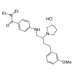 CCN(CC)C(=O)c1ccc(NCC(CCc2cccc(OC)c2)N2CCCC2)cc1.Cl